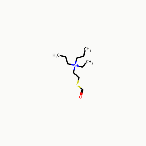 CCC[N+](CC)(CCC)CCSC=O